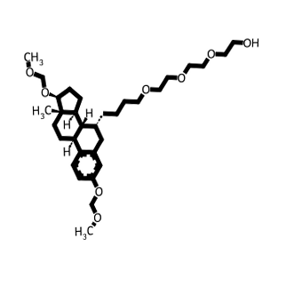 COCOc1ccc2c(c1)C[C@@H](CCCCOCCOCCOCCO)[C@@H]1[C@@H]2CC[C@]2(C)[C@@H](OCOC)CC[C@@H]12